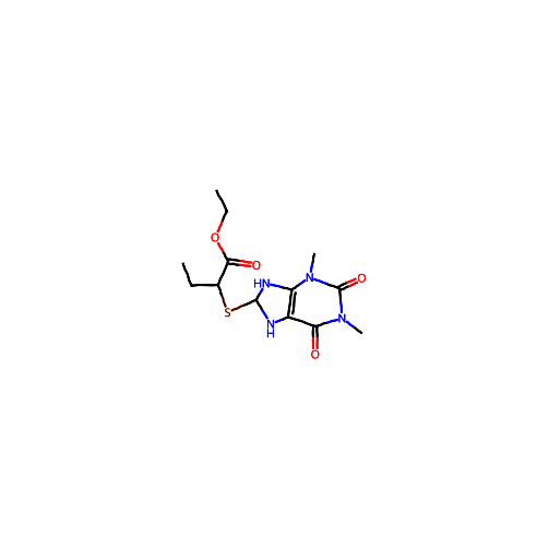 CCOC(=O)C(CC)SC1Nc2c(n(C)c(=O)n(C)c2=O)N1